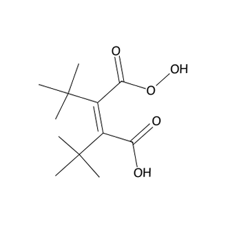 CC(C)(C)/C(C(=O)O)=C(/C(=O)OO)C(C)(C)C